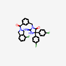 N=C1NC(c2ccc(F)cc2)(c2ccc(F)cc2)C(=O)N1Cc1cccc(C(=O)N2Cc3cccc(F)c3C2)c1